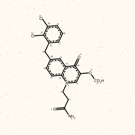 NC(=O)CCn1cc(OC(=O)O)c(=O)c2cc(Cc3cccc(Cl)c3Cl)ccc21